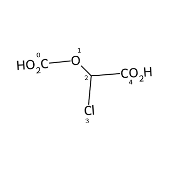 O=C(O)OC(Cl)C(=O)O